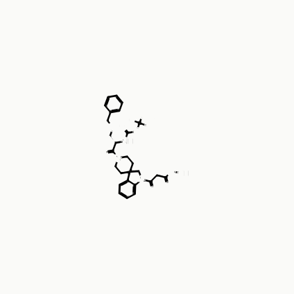 COC(=O)CC(=O)N1CC2(CCN(C(=O)[C@@H](COCc3ccccc3)NC(=O)OC(C)(C)C)CC2)c2ccccc21